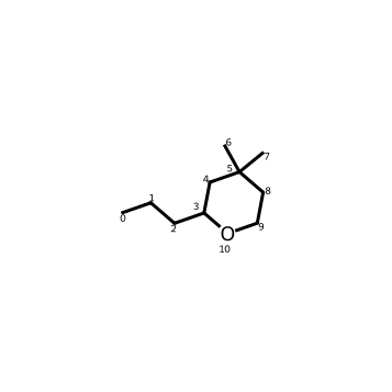 CCCC1CC(C)(C)CCO1